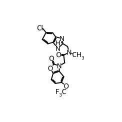 CN(Cc1nc2cc(Cl)ccc2[nH]1)C(=O)Cn1c(=O)oc2ccc(OC(F)(F)F)cc21